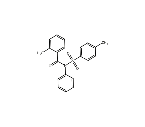 Cc1ccc(S(=O)(=O)N(C(=O)c2ccccc2C)c2ccccc2)cc1